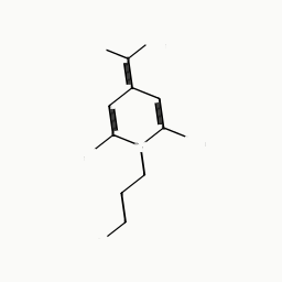 CC1=CC(=C(C)C)C=C(C)N1CCCS